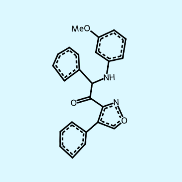 COc1cccc(NC(C(=O)c2nocc2-c2ccccc2)c2ccccc2)c1